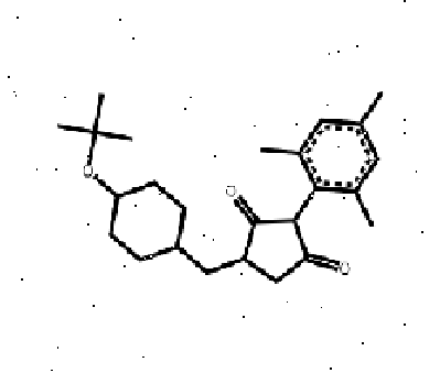 Cc1cc(C)c(C2C(=O)CC(CC3CCC(OC(C)(C)C)CC3)C2=O)c(C)c1